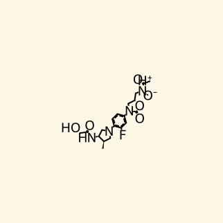 CC(=O)[N@@H+]([O-])CC1CN(c2ccc(N3C[C@@H](C)[C@@H](NC(=O)CO)C3)c(F)c2)C(=O)O1